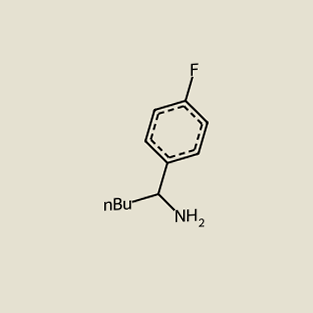 CCCCC(N)c1ccc(F)cc1